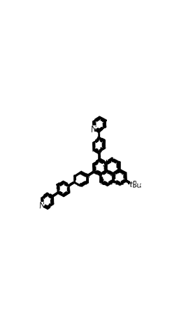 CC(C)(C)c1cc2ccc3c(C4=CCC(c5ccc(-c6ccncc6)cc5)C=C4)cc(-c4ccc(-c5ccccn5)cc4)c4ccc(c1)c2c34